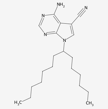 CCCCCCCC(CCCCCC)n1cc(C#N)c2c(N)ncnc21